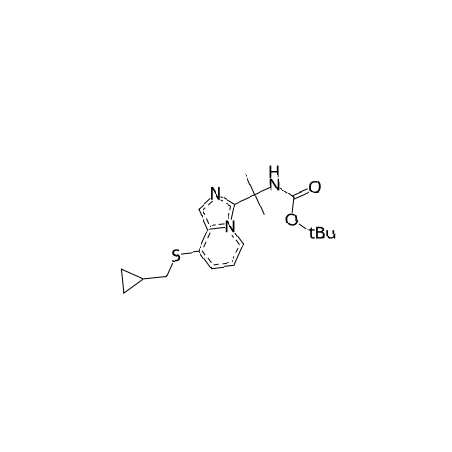 CC(C)(C)OC(=O)NC(C)(C)c1ncc2c(SCC3CC3)cccn12